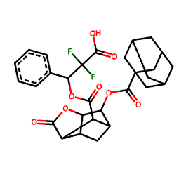 O=C1OC2C3CC(C2OC(=O)C24CC5CC(CC(C5)C2)C4)C(C(=O)OC(c2ccccc2)C(F)(F)C(=O)O)C13